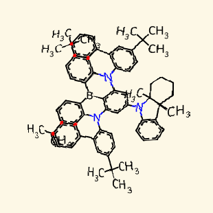 CC(C)c1ccc2c(c1)N(c1ccc(C(C)(C)C)cc1-c1cc#ccc1)c1cc(N3c4ccccc4C4(C)CCCCC34C)cc3c1B2c1ccc(C(C)(C)C)cc1N3c1ccc(C(C)(C)C)cc1-c1ccccc1